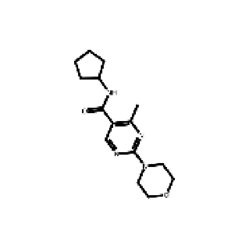 Cc1nc(N2CCOCC2)ncc1C(=O)NC1CCCC1